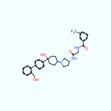 O=C(CNC(=O)c1cccc(C(F)(F)F)c1)N[C@@H]1CCN(C2CCC(O)(c3ccc(-c4ccccc4CO)cc3)CC2)C1